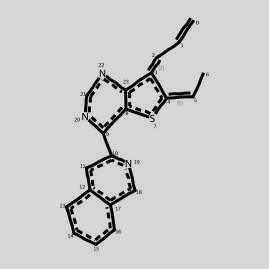 C=C/C=c1\c(=C/C)sc2c(-c3cc4ccccc4cn3)ncnc12